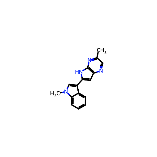 Cc1cnc2cc(-c3cn(C)c4ccccc34)[nH]c2n1